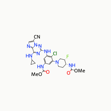 COC(=O)Nc1cc(Nc2nc(NC3CC3)c3ncc(C#N)n3n2)c(Cl)c(N2CC[C@@H](NC(=O)OC)[C@@H](F)C2)c1